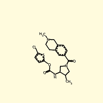 CC1CN(C(=O)c2ccc3c(c2)CCN(C)C3)CC1NC(=O)Oc1ccc(Cl)s1